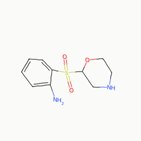 Nc1ccccc1S(=O)(=O)C1CNCCO1